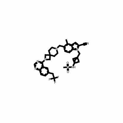 Cc1c(CN2CCC3(CC2)CN(c2ncnc4ccc(CC(F)(F)F)cc24)C3)ccc2c1cc(C#N)n2CC12CC(NS(C)(=O)=O)(C1)C2